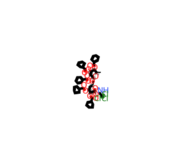 C[C@H]1O[C@@H](OC[C@@H]2C[C@H](OC(=O)c3ccccc3)[C@@H](OC(=O)c3ccccc3)[C@H](OC(=N)C(Cl)(Cl)Cl)O2)[C@H](OC(=O)c2ccccc2)[C@@H](OC(=O)c2ccccc2)[C@@H]1OC(=O)c1ccccc1